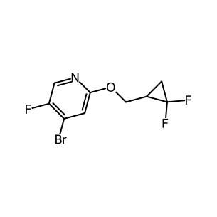 Fc1cnc(OCC2CC2(F)F)cc1Br